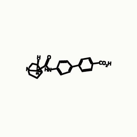 O=C(O)c1ccc(-c2ccc(NC(=O)[C@H]3CN4CCC3CC4)cc2)cc1